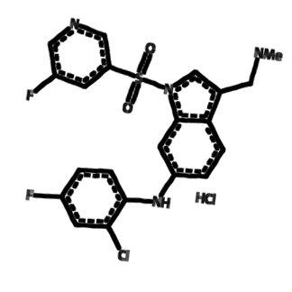 CNCc1cn(S(=O)(=O)c2cncc(F)c2)c2cc(Nc3ccc(F)cc3Cl)ccc12.Cl